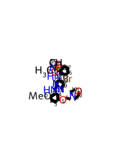 COc1ccc(OCCN2CCOCC2)cc1Nc1ncc(Br)c(Nc2ccccc2S(=O)(=O)N(C)C)n1